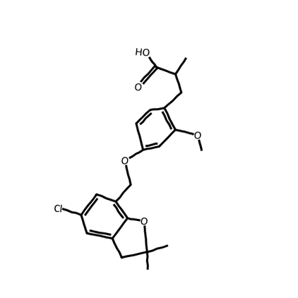 COc1cc(OCc2cc(Cl)cc3c2OC(C)(C)C3)ccc1CC(C)C(=O)O